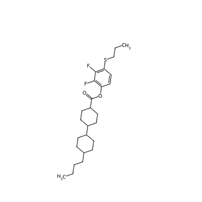 CCCCC1CCC(C2CCC(C(=O)Oc3ccc(SCCC)c(F)c3F)CC2)CC1